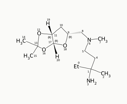 CCC(C)(N)CCN(C)C[C@H]1C[C@H]2OC(C)(C)O[C@H]2O1